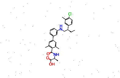 CC[C@@H](CNc1cccc(-c2cc(C)c(C(=O)N[C@@H](C)C(=O)O)c(C)c2)c1)c1ccc(Cl)c(C)c1